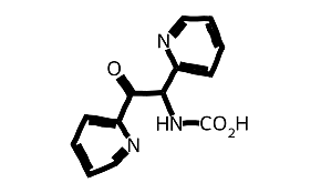 O=C(O)NC(C(=O)c1ccccn1)c1ccccn1